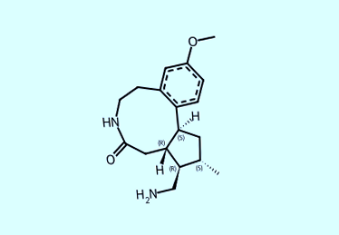 COc1ccc2c(c1)CCNC(=O)C[C@H]1[C@H](CN)[C@@H](C)C[C@H]21